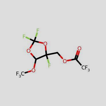 O=C(OCC1(F)OC(F)(F)OC1OC(F)(F)F)C(F)(F)F